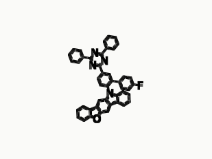 Fc1ccc(-c2cc(-c3nc(-c4ccccc4)nc(-c4ccccc4)n3)ccc2-n2c3ccccc3c3cc4oc5ccccc5c4cc32)cc1